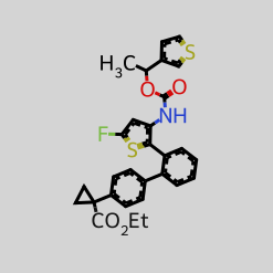 CCOC(=O)C1(c2ccc(-c3ccccc3-c3sc(F)cc3NC(=O)OC(C)c3ccsc3)cc2)CC1